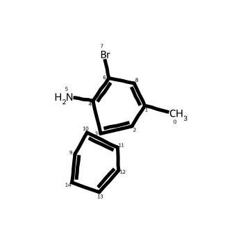 Cc1ccc(N)c(Br)c1.c1ccccc1